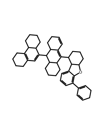 C1=CC(c2cccc3c2OC2CCCC(C4=C5C=CCCC5C(C5=CC6=C(CCCC6)C6CCCCC56)C5CCCCC45)C32)=CCC1